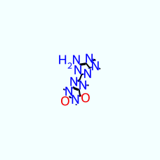 Cn1c(=O)c2c(nc(-c3nc(N)c4ncn(C)c4n3)n2C)n(C)c1=O